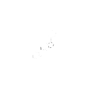 O=C(Nc1nc(C2CCCCC2)cs1)C1CCCCN1